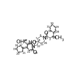 C[C@H](CC(=O)N1CCC(O)(Cn2cc(C=O)c(-c3ccccc3)cc2=O)CC1)c1ccccc1